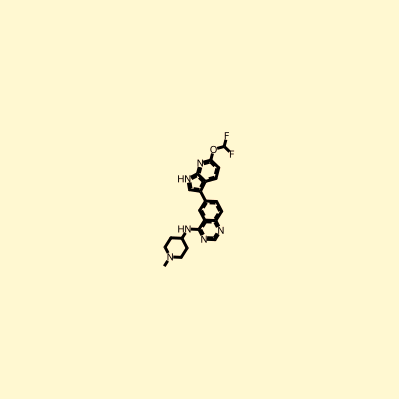 CN1CCC(Nc2ncnc3ccc(-c4c[nH]c5nc(OC(F)F)ccc45)cc23)CC1